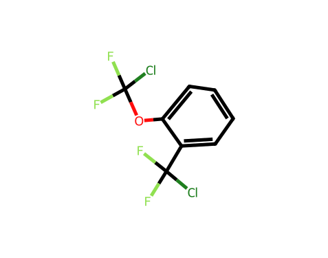 FC(F)(Cl)Oc1ccccc1C(F)(F)Cl